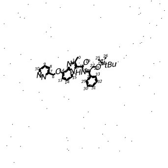 Cc1nc2c(OCc3cccnn3)cccn2c1C(=O)N[C@@H](CO[Si](C)(C)C(C)(C)C)c1ccccc1